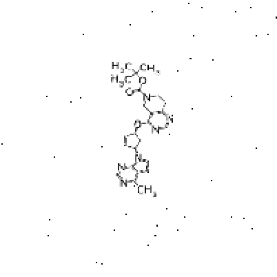 Cc1ncnc2c1ccn2[C@H]1C=C[C@@H](Oc2ncnc3c2CN(C(=O)OC(C)(C)C)CC3)C1